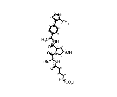 Cc1ncsc1-c1ccc([C@H](C)NC(=O)[C@H]2C[C@@H](O)CN2C(=O)[C@@H](NC(=O)CCCNC(=O)O)C(C)(C)C)cc1